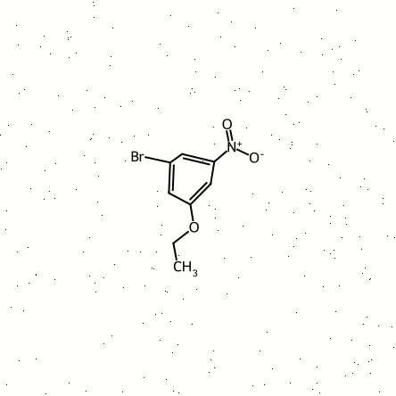 CCOc1cc(Br)cc([N+](=O)[O-])c1